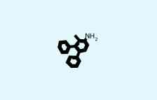 Cc1c(N)ccc(-c2ccccc2)c1-c1ccccc1